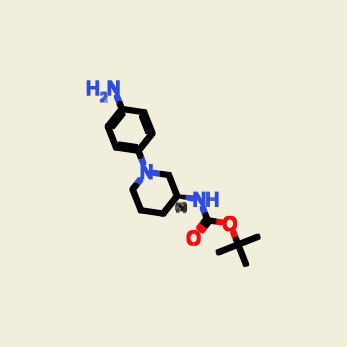 CC(C)(C)OC(=O)N[C@H]1CCCN(c2ccc(N)cc2)C1